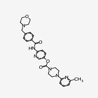 Cc1cccc(N2CCN(C(=O)Oc3ccc(NC(=O)c4ccc(CN5CCOCC5)cc4)nc3)CC2)n1